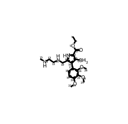 Bc1c(C(=O)OCC)[nH]c(CNCCNC)c1-c1ccc(OC)c(OC)c1OC